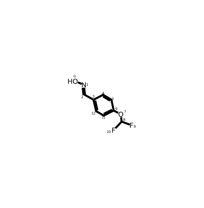 ON=Cc1ccc(OC(F)F)cc1